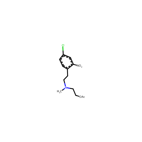 CC(=O)OCCN(C)CCc1ccc(Cl)cc1[N+](=O)[O-]